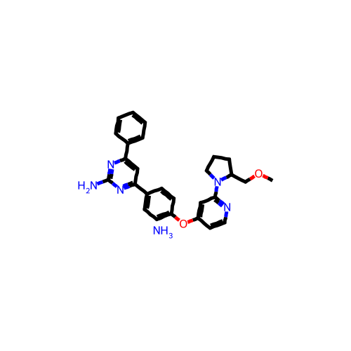 COCC1CCCN1c1cc(Oc2ccc(-c3cc(-c4ccccc4)nc(N)n3)cc2)ccn1.N